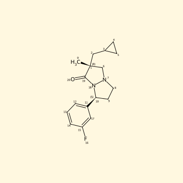 C[C@@]1(CC2CC2)CN2CC[C@@H](c3cccc(F)c3)N2C1=O